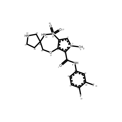 Cn1cc2c(c1C(=O)Nc1ccc(F)c(F)c1)OCC1(CCNC1)NS2(=O)=O